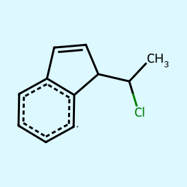 CC(Cl)C1C=Cc2ccc[c]c21